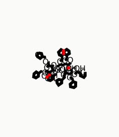 COC(OC1C(COCc2ccccc2)OC(OCc2ccccc2)C(NC(C)=O)C1OCc1ccccc1)C(OCc1ccccc1)C(O[C@H]1O[C@@H](CO)C(OCc2ccccc2)C(OCc2ccccc2)C1OCc1ccccc1)C1OC(c2ccccc2)OCC1C